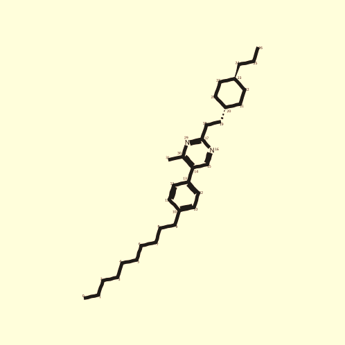 CCCCCCCCCCc1ccc(-c2cnc(CC[C@H]3CC[C@H](CCC)CC3)nc2C)cc1